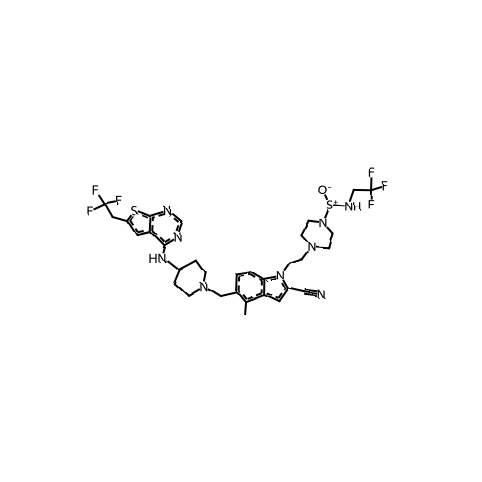 Cc1c(CN2CCC(Nc3ncnc4sc(CC(F)(F)F)cc34)CC2)ccc2c1cc(C#N)n2CCN1CCN([S+]([O-])NCC(F)(F)F)CC1